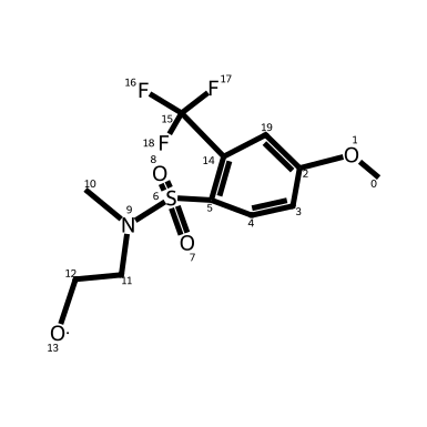 COc1ccc(S(=O)(=O)N(C)CC[O])c(C(F)(F)F)c1